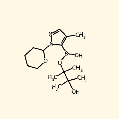 Cc1cnn(C2CCCCO2)c1B(O)OC(C)(C)C(C)(C)O